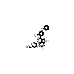 CC1C[C@@H](CO)OC[C@@H]1Nc1ncnc2[nH]cc(C(=O)c3ccc(Oc4ccccc4)cc3Cl)c12